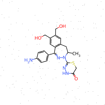 CC1Cc2cc(CO)c(CO)cc2C(c2ccc(N)cc2)=NN1C1=NNC(=O)CS1